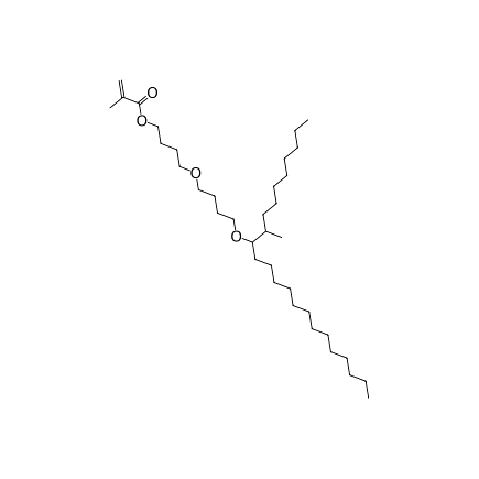 C=C(C)C(=O)OCCCCOCCCCOC(CCCCCCCCCCCCC)C(C)CCCCCCCC